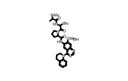 CNC(C)C(=O)NC(C(=O)N1CCCC1C(=O)Nc1cc2c(N3CCCc4ccccc43)ncnc2cc1OC)C(C)(C)C.Cl